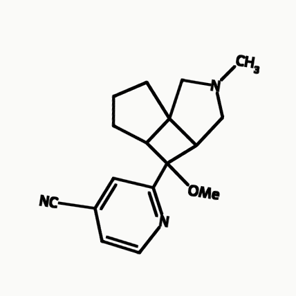 COC1(c2cc(C#N)ccn2)C2CCCC23CN(C)CC31